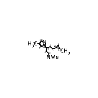 CNCCC(CCC1CC1C)n1cc(C)cn1